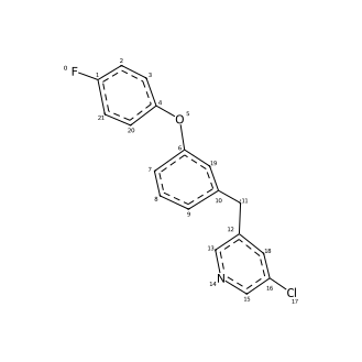 Fc1ccc(Oc2cccc([CH]c3cncc(Cl)c3)c2)cc1